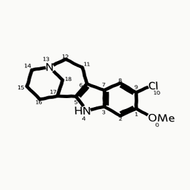 COc1cc2[nH]c3c(c2cc1Cl)CCN1CCCC3C1